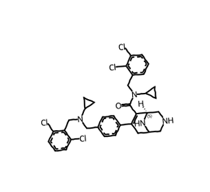 O=C(C1=C(c2ccc(CN(Cc3c(Cl)cccc3Cl)C3CC3)cc2)CC2CNC[C@H]1N2)N(Cc1cccc(Cl)c1Cl)C1CC1